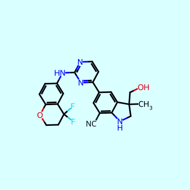 CC1(CO)CNc2c(C#N)cc(-c3ccnc(Nc4ccc5c(c4)C(F)(F)CCO5)n3)cc21